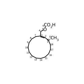 C[C@H]1C=C(COC(=O)O)CCCCCCCCCCCC1